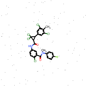 Cc1c(Cl)cc(C2C(C(=O)Nc3ccc(Cl)c(C(=O)N(C)c4ccc(F)cc4)c3)C2(Cl)Cl)cc1Cl